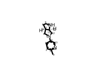 Cc1ccc(N2C[C@H]3CCN[C@H]3C2)cn1